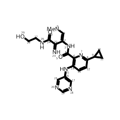 CN/C=C(/NC(=O)c1nc(C2CC2)ccc1Nc1cncnc1)C(=N)C(=O)NCCO